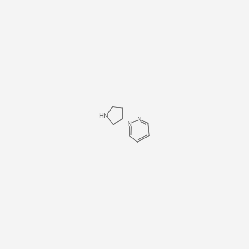 C1CCNC1.c1ccnnc1